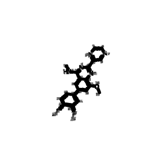 CNc1nc(-c2cnccn2)nc2c(OC)cc(-c3ccc(F)c(F)c3)cc12